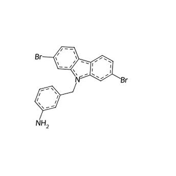 Nc1cccc(Cn2c3cc(Br)ccc3c3ccc(Br)cc32)c1